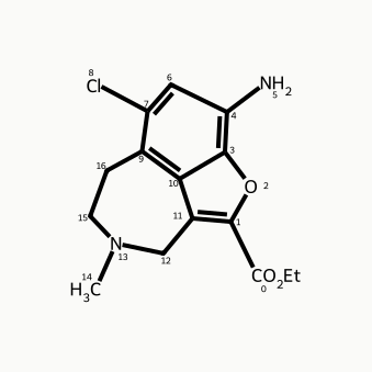 CCOC(=O)c1oc2c(N)cc(Cl)c3c2c1CN(C)CC3